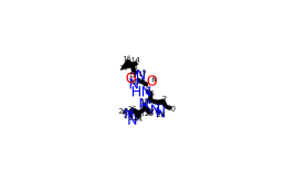 Cc1cc2c(CNC(=O)c3noc(C4(C)CC4)n3)nc(-c3cnn(C)c3)cn2n1